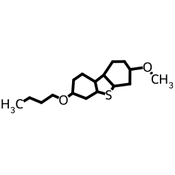 CCCCOC1CCC2C(C1)SC1CC(OC)CCC12